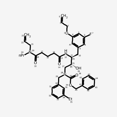 C=CCOc1cc(F)cc(C[C@H](NC(=O)CCCC(=O)N(CC=C)CCC)[C@H](O)CN(Cc2cccc(CC)c2)C(=O)OCc2ccccc2)c1